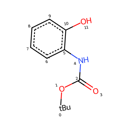 CC(C)(C)OC(=O)Nc1[c]cccc1O